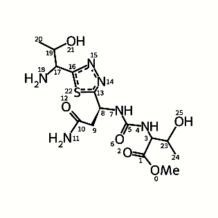 COC(=O)C(NC(=O)N[C@@H](CC(N)=O)c1nnc(C(N)C(C)O)s1)C(C)O